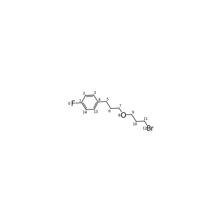 Fc1ccc(CCCOCCCBr)cc1